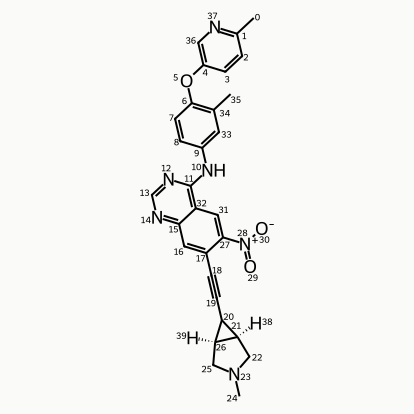 Cc1ccc(Oc2ccc(Nc3ncnc4cc(C#CC5[C@H]6CN(C)C[C@@H]56)c([N+](=O)[O-])cc34)cc2C)cn1